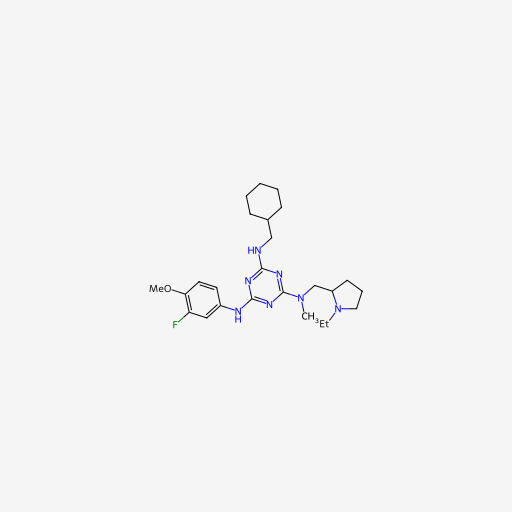 CCN1CCCC1CN(C)c1nc(NCC2CCCCC2)nc(Nc2ccc(OC)c(F)c2)n1